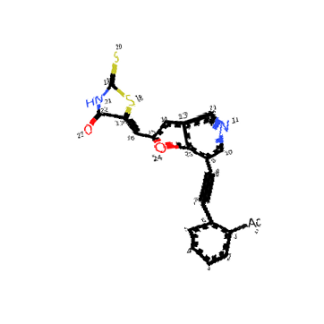 CC(=O)c1ccccc1C#Cc1cncc2cc(/C=C3\SC(=S)NC3=O)oc12